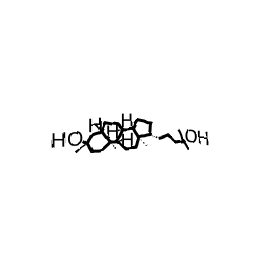 CC(C)(O)CCC[C@H]1CC[C@H]2[C@@H]3CC[C@H]4C[C@@](C)(O)CC[C@]4(C)[C@H]3CC[C@]12C